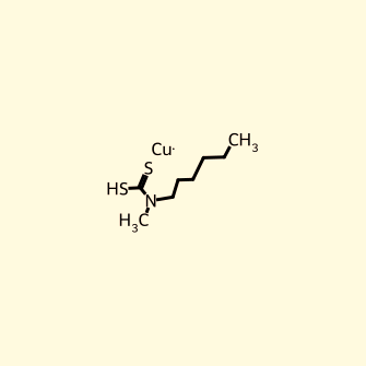 CCCCCCN(C)C(=S)S.[Cu]